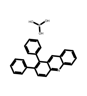 OB(O)O.c1ccc(-c2ccc3nc4ccccc4cc3c2-c2ccccc2)cc1